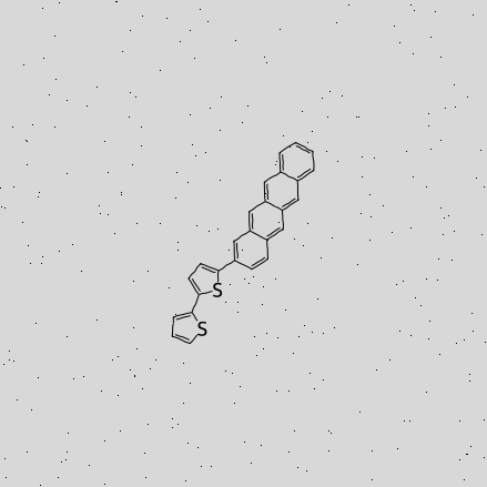 c1csc(-c2ccc(-c3ccc4cc5cc6ccccc6cc5cc4c3)s2)c1